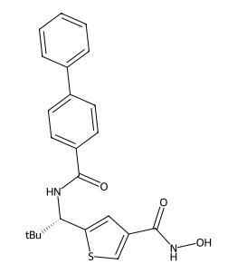 CC(C)(C)[C@H](NC(=O)c1ccc(-c2ccccc2)cc1)c1cc(C(=O)NO)cs1